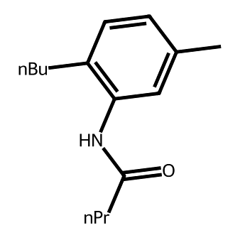 CCCCc1ccc(C)cc1NC(=O)CCC